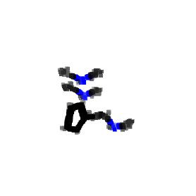 CC(C)[N-]C(C)C.CC(C)[N-]C(C)C.CC(C)[N-]C(C)C.[Ti+3][C]1=CC=CC1